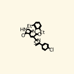 CCc1cccc(CC)c1-n1c2c(cc(-c3nc(-c4ccc(Cl)cc4)cs3)c1=O)C(=O)NC2